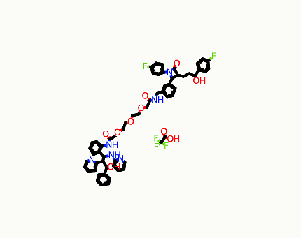 O=C(COCCOCCOCC(=O)Nc1ccccc1C(Nc1ccccn1)C(c1ccccn1)C(O)c1ccccc1)NCc1cccc(C2C(CCC(O)c3ccc(F)cc3)C(=O)N2c2ccc(F)cc2)c1.O=C(O)C(F)(F)F